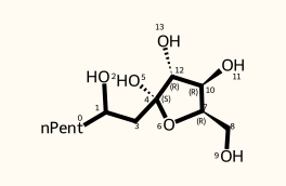 CCCCCC(O)C[C@]1(O)O[C@H](CO)[C@H](O)[C@H]1O